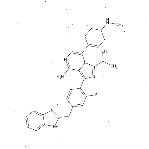 CNC1CC=C(c2cnc(N)c3c(-c4ccc(Cc5nc6ccccc6[nH]5)cc4F)nc(C(C)C)n23)CC1